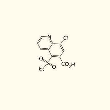 CCS(=O)(=O)c1c(C(=O)O)cc(Cl)c2ncccc12